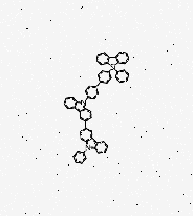 c1ccc(-n2c3ccccc3c3cc(-c4ccc5c(c4)c4ccccc4n5-c4ccc(-c5ccc([Si]6(c7ccccc7)c7ccccc7-c7ccccc76)cc5)cc4)ccc32)cc1